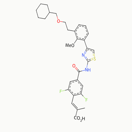 COc1c(CCOCC2CCCCC2)cccc1-c1csc(NC(=O)c2cc(F)c(/C=C(\C)C(=O)O)c(F)c2)n1